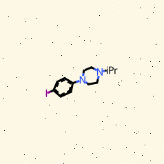 CC(C)N1CCN(c2ccc(I)cc2)CC1